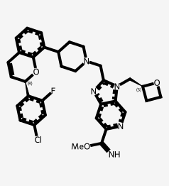 COC(=N)c1cc2nc(CN3CCC(c4cccc5c4O[C@@H](c4ccc(Cl)cc4F)C=C5)CC3)n(C[C@@H]3CCO3)c2cn1